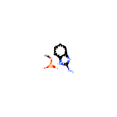 CCO[PH](=O)O.Nc1nc2ccccc2[nH]1